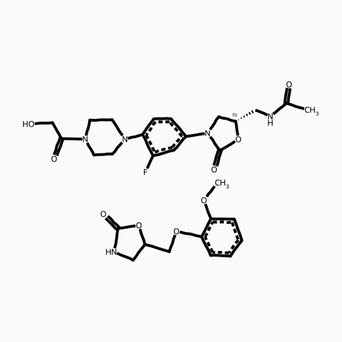 CC(=O)NC[C@H]1CN(c2ccc(N3CCN(C(=O)CO)CC3)c(F)c2)C(=O)O1.COc1ccccc1OCC1CNC(=O)O1